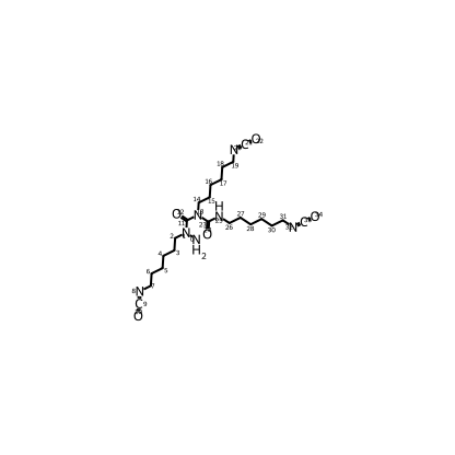 NN(CCCCCCN=C=O)C(=O)N(CCCCCCN=C=O)C(=O)NCCCCCCN=C=O